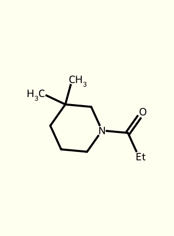 CCC(=O)N1CCCC(C)(C)C1